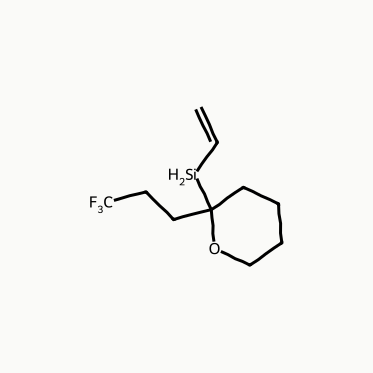 C=C[SiH2]C1(CCC(F)(F)F)CCCCO1